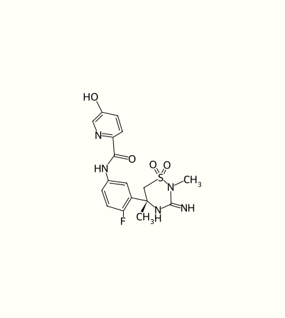 CN1C(=N)N[C@](C)(c2cc(NC(=O)c3ccc(O)cn3)ccc2F)CS1(=O)=O